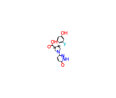 O=C(O)[C@@H]1CN(c2ccc(=O)[nH]n2)C[C@H]1c1ccc(O)cc1F